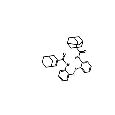 O=C(Nc1ccccc1SSc1ccccc1NC(=O)C12CC3CC(CC(C3)C1)C2)C1=CC2CCCC(C1)C2